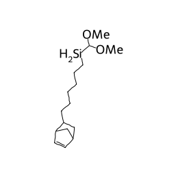 COC(OC)[SiH2]CCCCCCC1CC2C=CC1C2